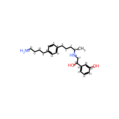 C[C@H](CCCc1ccc(CCCCN)cc1)NCC(O)c1cccc(O)c1